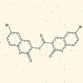 O=C(Sc1cc2cc(Br)ccc2oc1=O)c1cc2cc(Br)ccc2sc1=O